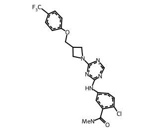 CNC(=O)c1cc(Nc2ncnc(N3CC(COc4ccc(C(F)(F)F)cc4)C3)n2)ccc1Cl